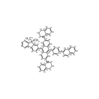 CC1(C)c2ccccc2-c2ccc(-c3c4ccc(N5CCCc6ccccc65)cc4c(-c4ccc(-c5ccc6ccccc6c5)cc4)c4ccc(N5CCCc6ccccc65)cc34)cc21